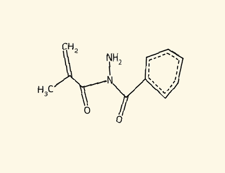 C=C(C)C(=O)N(N)C(=O)c1ccccc1